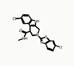 CNC(=O)C1CN(c2nc3ccc(Cl)cc3s2)Cc2[nH]c3ccc(Cl)cc3c21